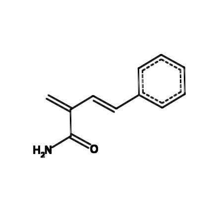 C=C(C=Cc1ccccc1)C(N)=O